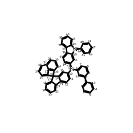 c1ccc(-c2cccc(N(c3ccc4c(c3)C3(c5ccccc5-4)c4cccc5cccc3c45)c3ccc4c5ccccc5n(-c5ccccc5)c4c3)c2)cc1